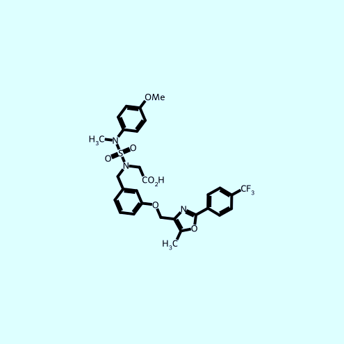 COc1ccc(N(C)S(=O)(=O)N(CC(=O)O)Cc2cccc(OCc3nc(-c4ccc(C(F)(F)F)cc4)oc3C)c2)cc1